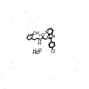 CN1CCCC1CCNC(=O)Cn1c(-c2ccc(Cl)cc2)nc2cccnc21.Cl.O